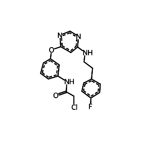 O=C(CCl)Nc1cccc(Oc2cc(NCCc3ccc(F)cc3)ncn2)c1